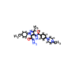 Cc1nn(C2CCC(C)CC2)c(C(N)=O)c1NC(=O)c1ccc(N2CCN(C)CC2)cc1